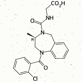 C[C@@H]1CN(C(=O)c2ccccc2Cl)c2ccccc2CN1C(=O)NCC(=O)O